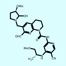 COC[C@@H](C)Nc1cc(NC(=O)N2CCCc3cc(CN4CC[C@@H](OC)C4O)c(C=O)nc32)ncc1C#N